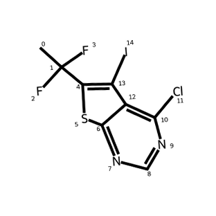 CC(F)(F)c1sc2ncnc(Cl)c2c1I